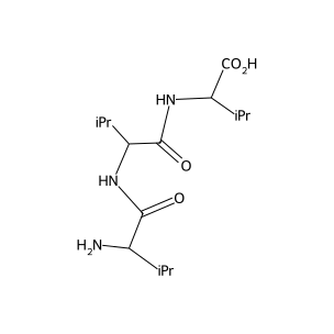 CC(C)C(N)C(=O)NC(C(=O)NC(C(=O)O)C(C)C)C(C)C